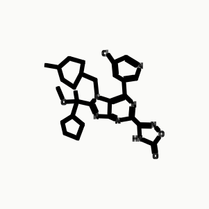 COC(C)(c1nc2nc(-c3noc(=O)[nH]3)nc(-c3cncc(Cl)c3)c2n1CC1CCC(C)CC1)C1CCCC1